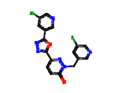 O=c1ccc(-c2nnc(-c3cncc(Cl)c3)o2)nn1Cc1cncc(F)c1